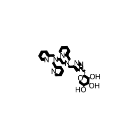 O[C@@H]1[C@H](O)[C@@H](O)CO[C@@H]1Cn1cc(CN(CCN(Cc2ccccn2)Cc2ccccn2)Cc2ccccn2)nn1